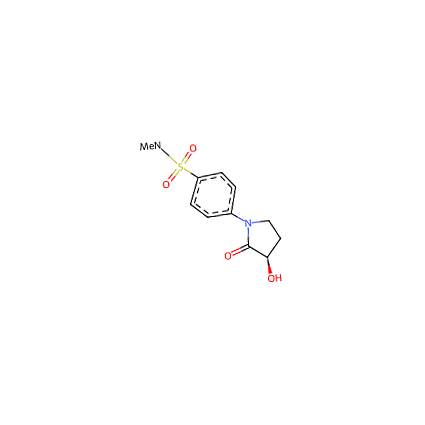 CNS(=O)(=O)c1ccc(N2CC[C@@H](O)C2=O)cc1